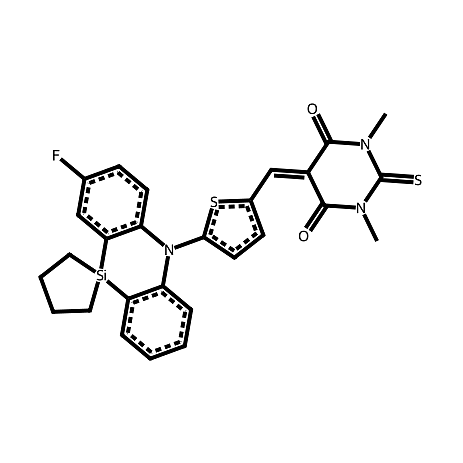 CN1C(=O)C(=Cc2ccc(N3c4ccccc4[Si]4(CCCC4)c4cc(F)ccc43)s2)C(=O)N(C)C1=S